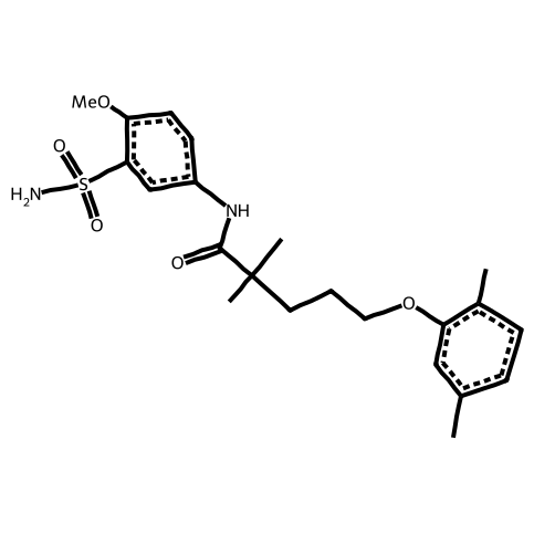 COc1ccc(NC(=O)C(C)(C)CCCOc2cc(C)ccc2C)cc1S(N)(=O)=O